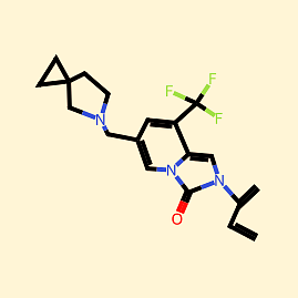 C=CC(=C)n1cc2c(C(F)(F)F)cc(CN3CCC4(CC4)C3)cn2c1=O